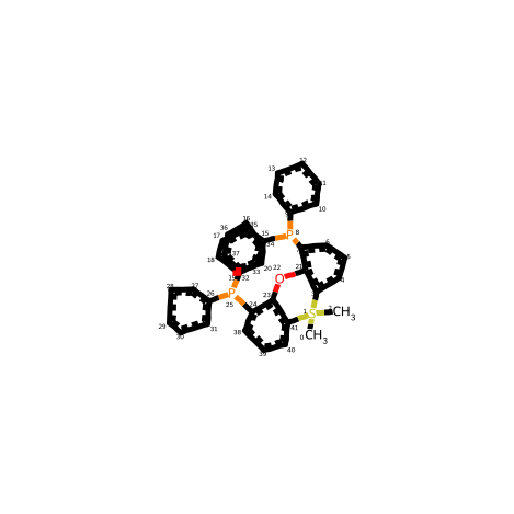 CS1(C)c2cccc(P(c3ccccc3)c3ccccc3)c2Oc2c(P(c3ccccc3)c3ccccc3)cccc21